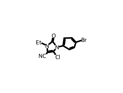 CCn1c(C#N)c(Cl)n(-c2ccc(Br)cc2)c1=O